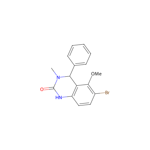 COc1c(Br)ccc2c1C(c1ccccc1)N(C)C(=O)N2